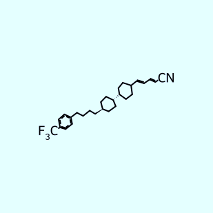 N#C/C=C/C=C/C1CCC([C@H]2CC[C@H](CCCCc3ccc(C(F)(F)F)cc3)CC2)CC1